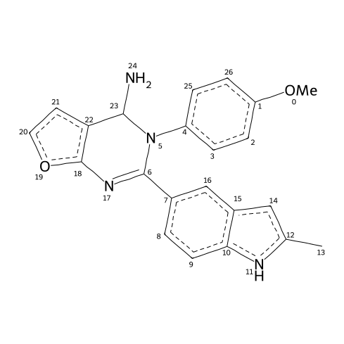 COc1ccc(N2C(c3ccc4[nH]c(C)cc4c3)=Nc3occc3C2N)cc1